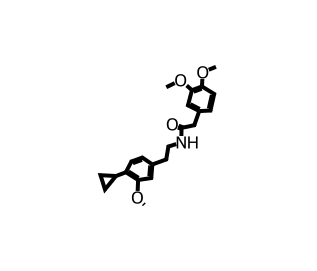 COc1ccc(CC(=O)NCCc2ccc(C3CC3)c(OC)c2)cc1OC